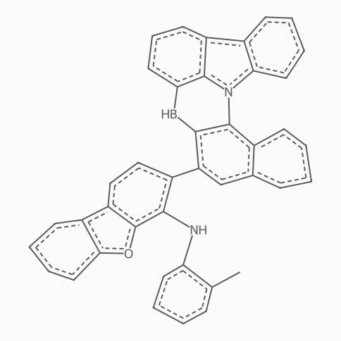 Cc1ccccc1Nc1c(-c2cc3ccccc3c3c2Bc2cccc4c5ccccc5n-3c24)ccc2c1oc1ccccc12